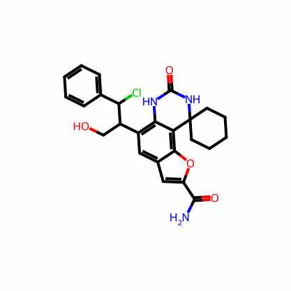 NC(=O)c1cc2cc(C(CO)C(Cl)c3ccccc3)c3c(c2o1)C1(CCCCC1)NC(=O)N3